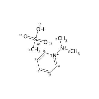 CN(C)[n+]1ccccc1.CS(=O)(=O)O